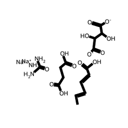 C/C=C/C=C/C(=O)O.N.NC(N)=O.O=C(O)CCC(=O)O.O=C([O-])C(O)C(O)C(=O)[O-].[Na+].[Na+]